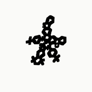 CC(C)(C)c1ccc(N2B3c4sc5cc6c(cc5c4N(c4ccc(C(C)(C)C)cc4)c4c3c(cc3c4oc4ccccc43)-c3cc4c(cc32)sc2ccccc24)C(C)(C)CCC6(C)C)cc1